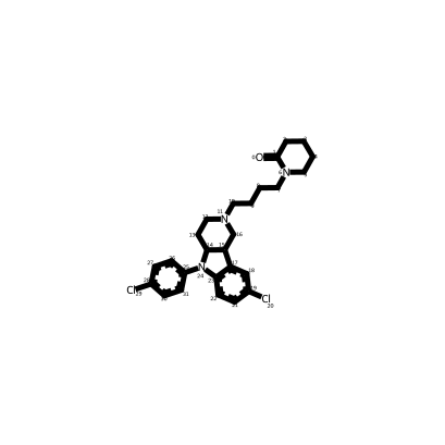 O=C1CCCCN1CCCCN1CCC2C(C1)c1cc(Cl)ccc1N2c1ccc(Cl)cc1